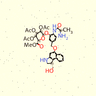 COC(=O)[C@H]1O[C@@H](Oc2cc(COc3cc4c(c5ccccc35)[C@H](CO)CN4)ccc2NC(=O)[C@H](C)N)[C@H](OC(C)=O)[C@@H](OC(C)=O)[C@@H]1OC(C)=O